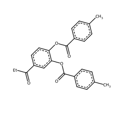 CCC(=O)c1ccc(OC(=O)c2ccc(C)cc2)c(OC(=O)c2ccc(C)cc2)c1